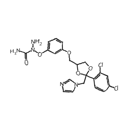 NC(=O)N(N)Oc1cccc(OCC2COC(Cn3ccnc3)(c3ccc(Cl)cc3Cl)O2)c1